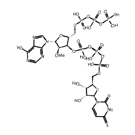 CO[C@@H]1[C@H](OP(=O)(O)OP(=O)(O)OP(=O)(O)OC[C@H]2O[C@@H](n3ccc(=S)[nH]c3=O)[C@H](O)[C@@H]2O)[C@@H](COP(=O)(O)OP(=O)(O)OP(=O)(O)O)O[C@H]1n1cnc2c(O)ncnc21